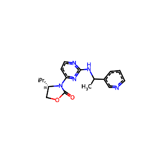 CC(Nc1nccc(N2C(=O)OC[C@@H]2C(C)C)n1)c1cccnc1